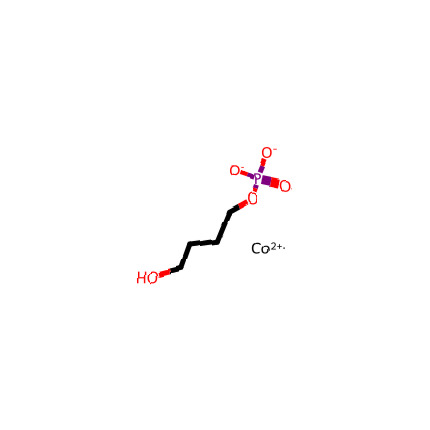 O=P([O-])([O-])OCCCCO.[Co+2]